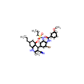 CCCC1CC(=O)C2=C(C1)NC(C)=C(C#N)C2c1cc(Br)c(NC(=O)c2cccc(OC)c2)c(NS(=O)(=O)CCC)c1